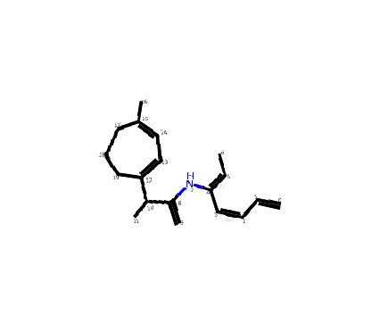 C=C/C=C\C(=C\C)NC(=C)C(C)C1=CC=C(C)CCC1